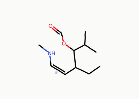 CCC(/C=C\NC)C(OC=O)C(C)C